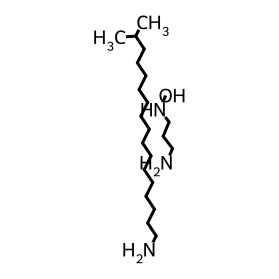 CC(C)CCCCCCCCCCCCCCCN.NCCCNO